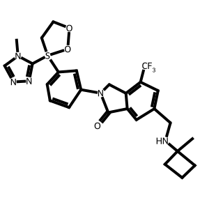 Cn1cnnc1S1(c2cccc(N3Cc4c(cc(CNC5(C)CCC5)cc4C(F)(F)F)C3=O)c2)CCOO1